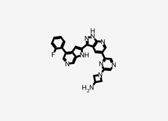 NC1CN(c2cncc(-c3cnc4[nH]nc(-c5cc6c(-c7ccccc7F)cncc6[nH]5)c4c3)n2)C1